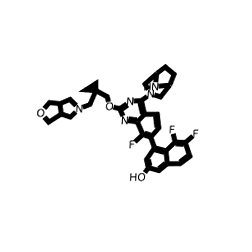 Oc1cc(-c2ccc3c(N4CC5CCC(C4)N5)nc(OCC4(CN5CC6COCC6C5)CC4)nc3c2F)c2c(F)c(F)ccc2c1